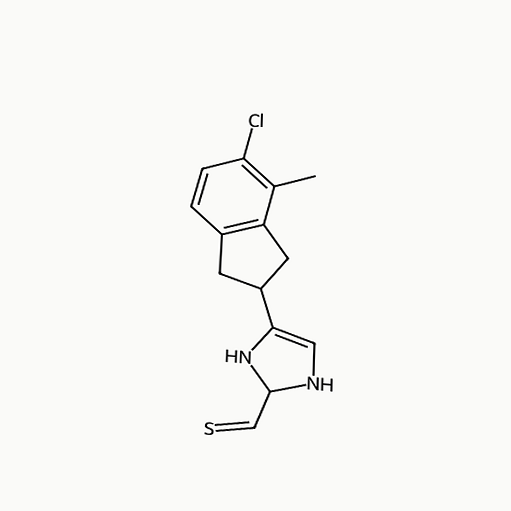 Cc1c(Cl)ccc2c1CC(C1=CNC(C=S)N1)C2